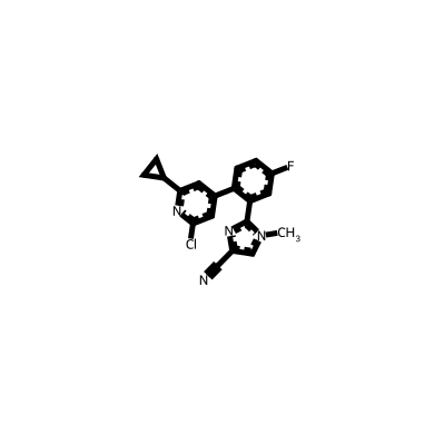 Cn1cc(C#N)nc1-c1cc(F)ccc1-c1cc(Cl)nc(C2CC2)c1